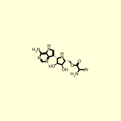 CC(C)C(N)C(=O)OC[C@H]1N[C@@H](c2c[nH]c3c(N)ncnc23)[C@H](O)[C@@H]1O